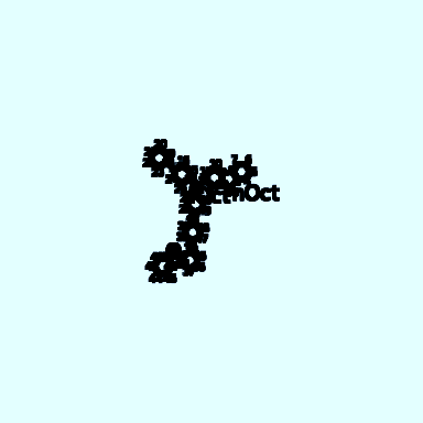 CCCCCCCCC1(CCCCCCCC)c2ccccc2-c2ccc(N(c3ccc(-c4ccccc4)cc3)c3ccc(-c4ccc(-c5cccc6c5oc5ccccc56)cc4)cc3)cc21